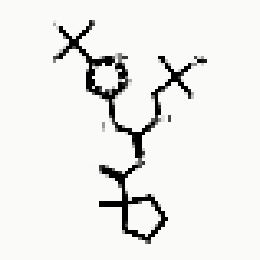 CC(C)(O)CN/C(=N/C(=O)C1(C)CCCC1)Nc1cc(C(F)(F)F)[nH]n1